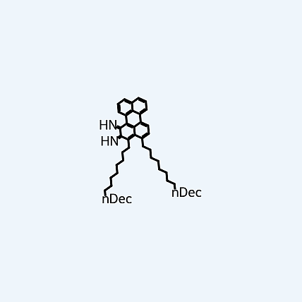 CCCCCCCCCCCCCCCCCCc1ccc2c3cccc4cccc(c5c(=N)c(=N)c(CCCCCCCCCCCCCCCCCC)c1c25)c43